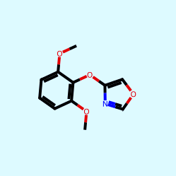 COc1cccc(OC)c1Oc1co[c]n1